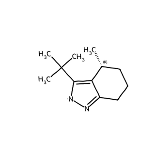 C[C@@H]1CCCC2=N[N]C(C(C)(C)C)=C21